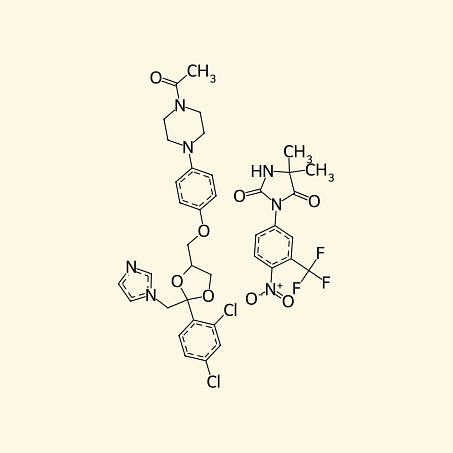 CC(=O)N1CCN(c2ccc(OCC3COC(Cn4ccnc4)(c4ccc(Cl)cc4Cl)O3)cc2)CC1.CC1(C)NC(=O)N(c2ccc([N+](=O)[O-])c(C(F)(F)F)c2)C1=O